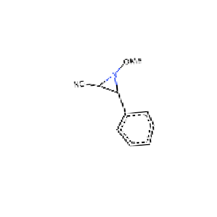 CON1C(C#N)C1c1ccccc1